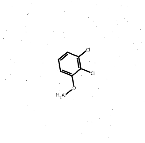 [AlH2][O]c1cccc(Cl)c1Cl